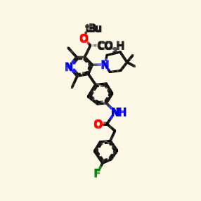 Cc1nc(C)c([C@H](OC(C)(C)C)C(=O)O)c(N2CCC(C)(C)CC2)c1-c1ccc(NC(=O)Cc2ccc(F)cc2)cc1